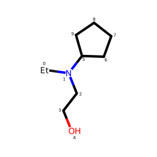 [CH2]CN(CCO)C1CCCC1